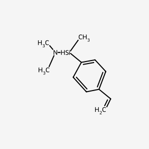 C=Cc1ccc([SiH](C)N(C)C)cc1